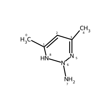 CC1=CC(C)=NN(N)N1